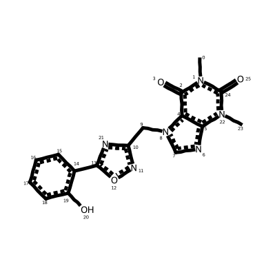 Cn1c(=O)c2c(ncn2Cc2noc(-c3ccccc3O)n2)n(C)c1=O